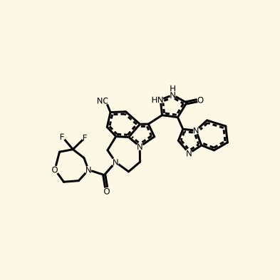 N#Cc1cc2c3c(c1)c(-c1[nH][nH]c(=O)c1-c1cnc4ccccn14)cn3CCN(C(=O)N1CCOCC(F)(F)C1)C2